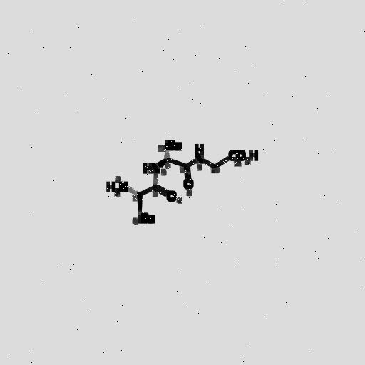 CC[C@H](C)[C@H](N)C(=O)N[C@H](C(=O)NCC(=O)O)[C@@H](C)CC